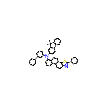 CC1(C)c2ccccc2-c2ccc(N(c3cccc(-c4ccccc4)c3)c3cccc4c3ccc3c4ccc4nc(-c5ccccc5)sc43)cc21